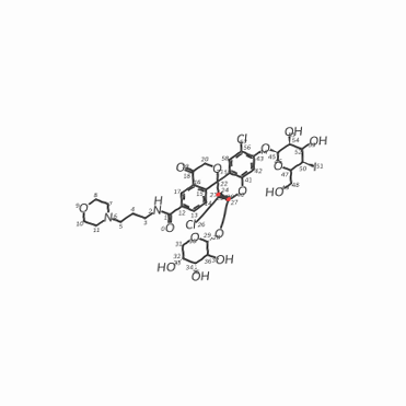 O=C(NCCCN1CCOCC1)c1ccc2c(c1)C(=O)COC21c2cc(Cl)c(O[C@H]3OC[C@@H](O)[C@@H](O)C3O)cc2Oc2cc(O[C@@H]3OC(CO)[C@H](I)C(O)[C@@H]3O)c(Cl)cc21